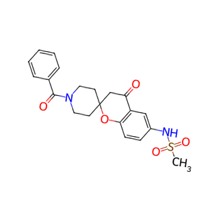 CS(=O)(=O)Nc1ccc2c(c1)C(=O)CC1(CCN(C(=O)c3ccccc3)CC1)O2